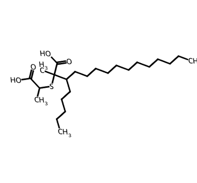 CCCCCCCCCCCCC(CCCCC)C(C)(SC(C)C(=O)O)C(=O)O